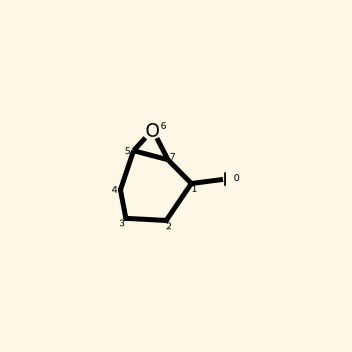 IC1CCCC2OC12